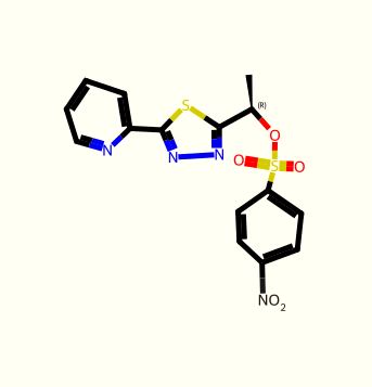 C[C@@H](OS(=O)(=O)c1ccc([N+](=O)[O-])cc1)c1nnc(-c2ccccn2)s1